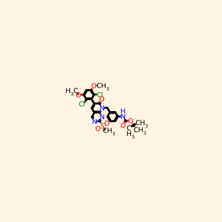 COc1cc(OC)c(Cl)c(-c2cc3cnc(S(C)(=O)=O)nc3n(Cc3cccc(NC(=O)OC(C)(C)C)c3)c2=O)c1Cl